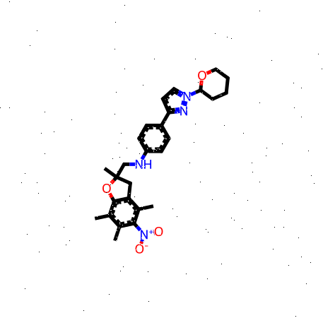 Cc1c(C)c([N+](=O)[O-])c(C)c2c1OC(C)(CNc1ccc(-c3ccn(C4CCCCO4)n3)cc1)C2